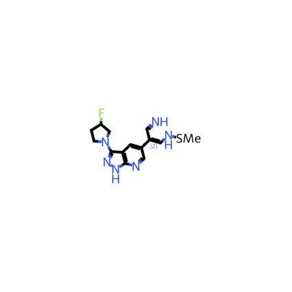 CSN/C=C(\C=N)c1cnc2[nH]nc(N3CCC(F)C3)c2c1